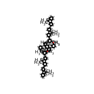 Cc1ccccc1N(c1c(C)cc(-c2ccc3c(c2)C(C)(C)c2cc(-c4ccc5c(c4)C(C)(C)c4ccccc4-5)ccc2-3)cc1C)c1c2ccccc2c(N(c2ccccc2C)c2c(C)cc(-c3ccc4c(c3)C(C)(C)c3cc(-c5ccc6c(c5)C(C)(C)c5ccccc5-6)ccc3-4)cc2C)c2ccccc12